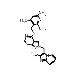 Cc1cc(N)nc(C)c1CNc1ncnc2nn(Cc3c(C(F)(F)F)nc4ccccn34)cc12